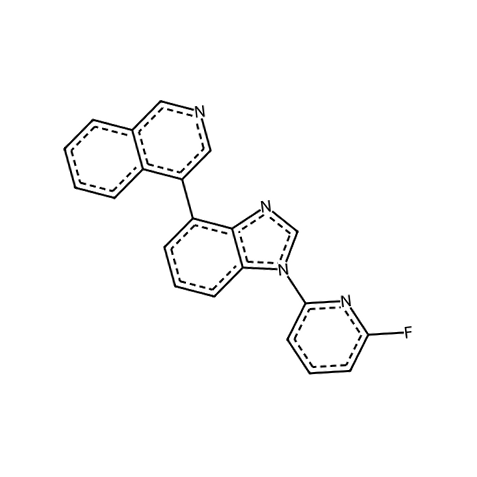 Fc1cccc(-n2cnc3c(-c4cncc5ccccc45)cccc32)n1